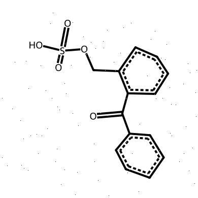 O=C(c1ccccc1)c1ccccc1COS(=O)(=O)O